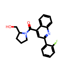 O=C(c1cc(-c2ccccc2F)nc2ccccc12)N1CCCC1CO